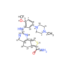 CN1CCN(c2ccc(OC(F)(F)F)c(Nc3ncc4c(n3)-c3csc(C(N)=O)c3CC4)c2)CC1